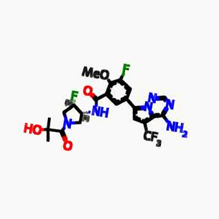 COc1c(F)cc(-c2cc(C(F)(F)F)c3c(N)ncnn23)cc1C(=O)N[C@@H]1CN(C(=O)C(C)(C)O)C[C@@H]1F